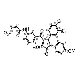 COc1ccc(N2C(=O)C(O)=C(C(=O)c3cccc(NC(=O)/C=C\C(=O)O)c3)C2c2ccc(Cl)c(Cl)c2)cc1